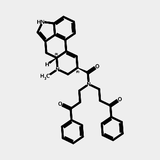 CN1C[C@H](C(=O)N(CCC(=O)c2ccccc2)CCC(=O)c2ccccc2)C=C2c3cccc4[nH]cc(c34)C[C@H]21